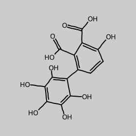 O=C(O)c1c(O)ccc(-c2c(O)c(O)c(O)c(O)c2O)c1C(=O)O